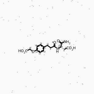 NC(=O)[C@H](CC(=O)O)NC(=O)CCc1ccc(OCC(=O)O)cc1